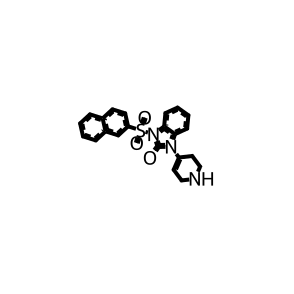 O=c1n(C2=CCNCC2)c2ccccc2n1S(=O)(=O)c1ccc2ccccc2c1